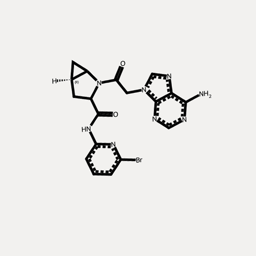 Nc1ncnc2c1ncn2CC(=O)N1C(C(=O)Nc2cccc(Br)n2)C[C@H]2CC21